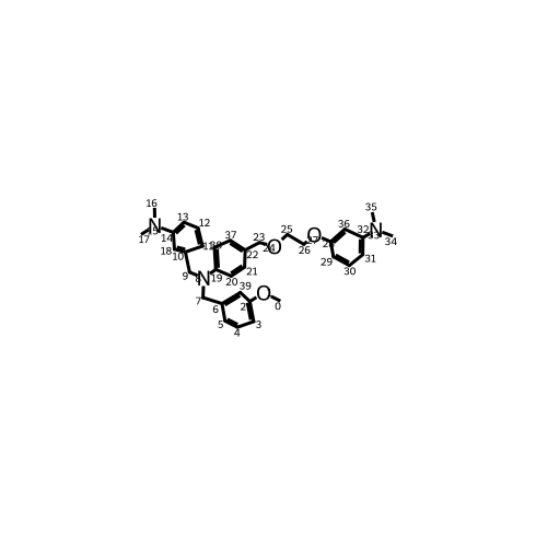 COc1cccc(CN(Cc2cccc(N(C)C)c2)c2ccc(COCCOc3cccc(N(C)C)c3)cc2)c1